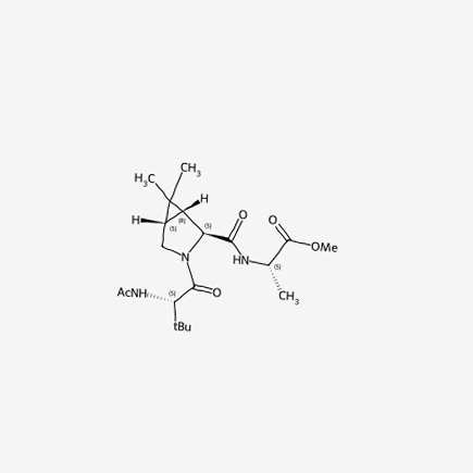 COC(=O)[C@H](C)NC(=O)[C@@H]1[C@@H]2[C@H](CN1C(=O)[C@@H](NC(C)=O)C(C)(C)C)C2(C)C